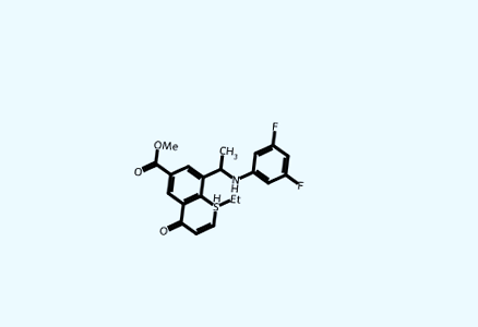 CC[SH]1C=CC(=O)c2cc(C(=O)OC)cc(C(C)Nc3cc(F)cc(F)c3)c21